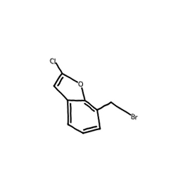 Clc1cc2cccc(CBr)c2o1